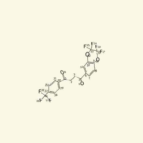 O=C(CCC(=O)c1ccc2c(c1)OC(F)(F)C(F)(F)O2)c1ccc(C(F)(F)F)cc1